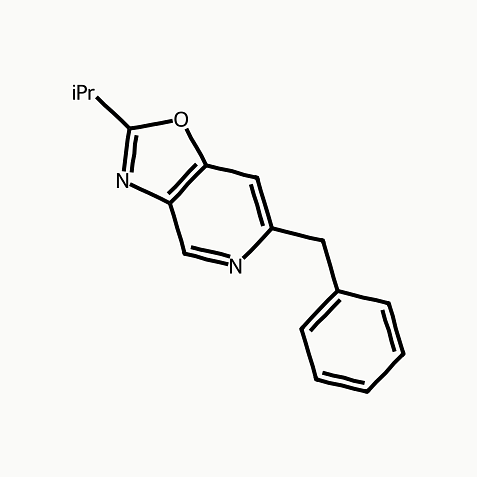 CC(C)c1nc2cnc(Cc3ccccc3)cc2o1